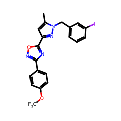 Cc1cc(-c2nc(-c3ccc(OC(F)(F)F)cc3)no2)nn1Cc1cccc(I)c1